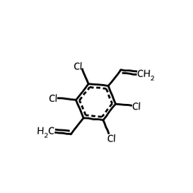 C=Cc1c(Cl)c(Cl)c(C=C)c(Cl)c1Cl